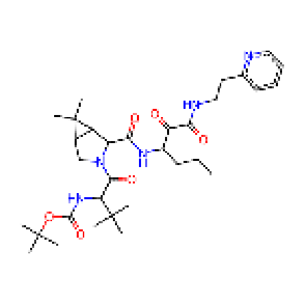 CCCC(NC(=O)C1C2C(CN1C(=O)C(NC(=O)OC(C)(C)C)C(C)(C)C)C2(C)C)C(=O)C(=O)NCCc1ccccn1